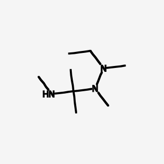 CCN(C)N(C)C(C)(C)NC